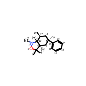 CCN1OC(C)(C)[C@@H]2C[C@](C)(c3ccccc3)C[C@H](C)[C@H]21